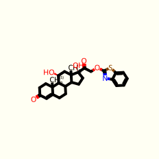 CC12CCC(=O)C=C1CCC1C2[C@@H](O)CC2(C)C1CC[C@]2(O)C(=O)COc1nc2ccccc2s1